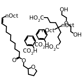 CCCCCCCC/C=C\CCCCCCCC(=O)OCC1CCCO1.CCCCCCCCC(CCCCCCCC)(CCCC(=O)O)CCCC(=O)O.O=C(O)c1ccccc1.O=C(O)c1ccccc1.OCCOCCO